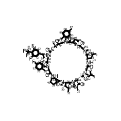 CC[C@H](C)[C@@H]1NC(=O)[C@H](CC(C)C)N(C)C(=O)C[C@@H](C(=O)N(C)C)N(C)C(=O)[C@H]([C@@H](C)CC)N(C)C(=O)C2(CCCC2)NC(=O)[C@H](Cc2ccc(F)cc2)N(C)C(=O)[C@H](CCc2cc(F)c(C(F)(F)F)c(F)c2)NC(=O)CN(C)C(=O)[C@H](Cc2ccc(C)cc2)N(C)C(=O)[C@@H]2CCN2C(=O)[C@H](C)N(C)C1=O